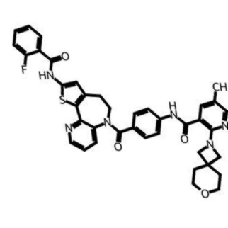 Cc1cnc(N2CC3(CCOCC3)C2)c(C(=O)Nc2ccc(C(=O)N3CCc4cc(NC(=O)c5ccccc5F)sc4-c4ncccc43)cc2)c1